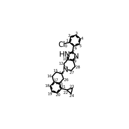 Clc1ccccc1-c1nc2c([nH]1)CN(C1CCc3cccc(C4CC4)c3C1)CC2